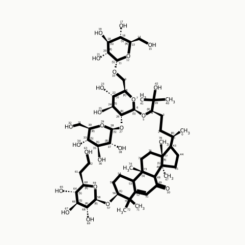 C[C@H](CC[C@@H](O[C@@H]1O[C@H](CO[C@H]2O[C@H](CO)[C@@H](O)[C@H](O)[C@H]2O)[C@@H](O)[C@H](O)[C@H]1O[C@@H]1O[C@H](CO)[C@@H](O)[C@H](O)[C@H]1O)C(C)(C)O)C1CC[C@@]2(C)C3C(=O)C=C4C(CC[C@H](O[C@@H]5O[C@H](CCO)[C@@H](O)[C@H](O)[C@H]5O)C4(C)C)[C@]3(C)CC[C@]12C